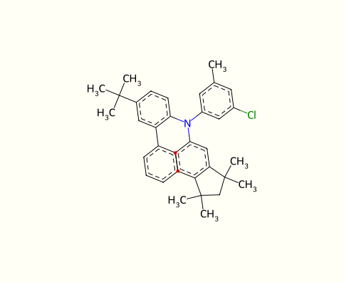 Cc1cc(Cl)cc(N(c2ccc3c(c2)C(C)(C)CC3(C)C)c2ccc(C(C)(C)C)cc2-c2ccccc2)c1